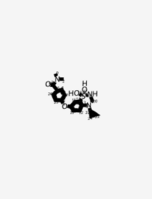 CN(C)C(=O)c1ccc(Oc2ccc3c(c2)S(O)(O)NCN3C2CC2)cc1